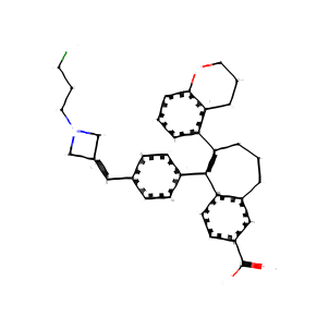 O=C(O)c1ccc2c(c1)CCCC(c1cccc3c1CCCO3)=C2c1ccc(C=C2CN(CCCF)C2)cc1